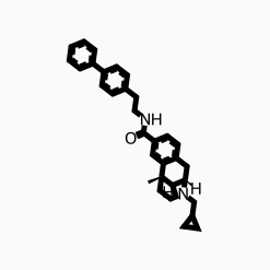 C[C@H]1[C@H]2Cc3ccc(C(=O)NCCc4ccc(-c5ccccc5)cc4)cc3[C@@]1(C)CCN2CC1CC1